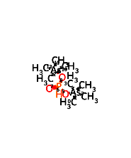 C[As](C)(C)(C)O[PH](=O)O[As](C)(C)(C)C